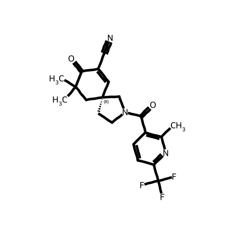 Cc1nc(C(F)(F)F)ccc1C(=O)N1CC[C@]2(C=C(C#N)C(=O)C(C)(C)C2)C1